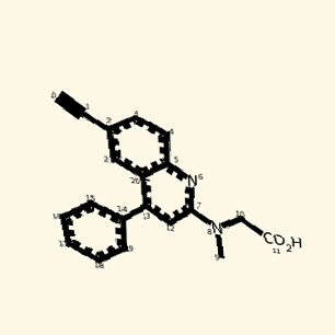 C#Cc1ccc2nc(N(C)CC(=O)O)cc(-c3ccccc3)c2c1